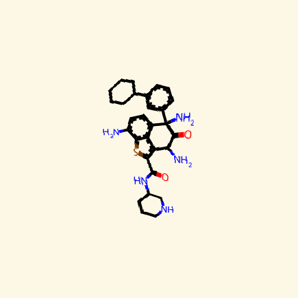 Nc1ccc2c3c(c(C(=O)NC4CCCNC4)sc13)C(N)C(=O)C2(N)c1cccc(C2CCCCC2)c1